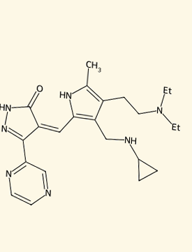 CCN(CC)CCc1c(C)[nH]c(C=C2C(=O)NN=C2c2cnccn2)c1CNC1CC1